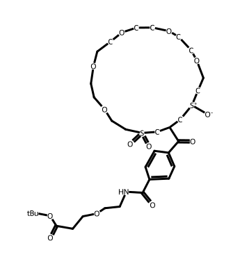 CC(C)(C)OC(=O)CCOCCNC(=O)c1ccc(C(=O)C2C[S+]([O-])CCOCCOCCOCCOCCOCCS(=O)(=O)C2)cc1